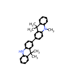 CN1c2ccccc2C(C)(C)c2cc(-c3ccc4c(c3)C(C)(C)c3ccccc3N4)ccc21